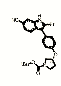 CCc1[nH]c2cc(C#N)ccc2c1-c1ccc(O[C@H]2CCN(C(=O)OC(C)(C)C)C2)cc1